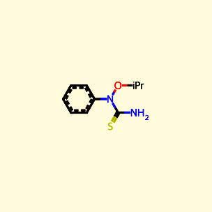 CC(C)ON(C(N)=S)c1ccccc1